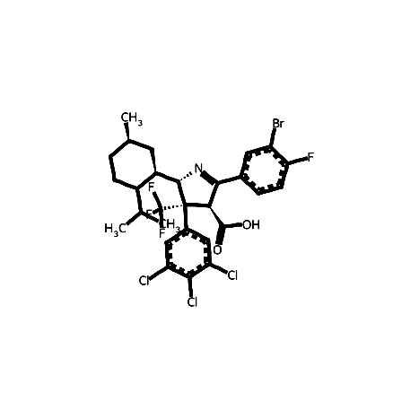 CC(C)C1CC[C@@H](C)C[C@H]1[C@@H]1N=C(c2ccc(F)c(Br)c2)[C@@H](C(=O)O)[C@]1(c1cc(Cl)c(Cl)c(Cl)c1)C(F)(F)F